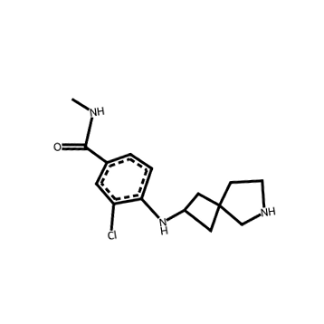 CNC(=O)c1ccc(NC2CC3(CCNC3)C2)c(Cl)c1